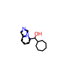 OC(c1cccc2cncn12)C1CCCCCC1